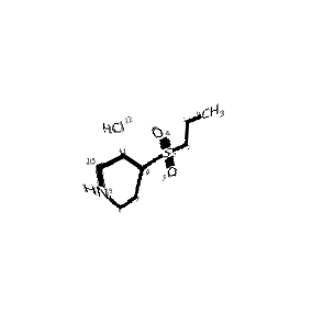 CCCS(=O)(=O)C1CCNCC1.Cl